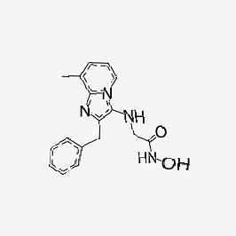 Cc1cccn2c(NCC(=O)NO)c(Cc3ccccc3)nc12